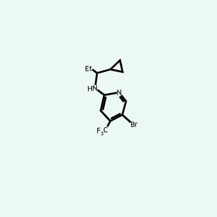 CCC(Nc1cc(C(F)(F)F)c(Br)cn1)C1CC1